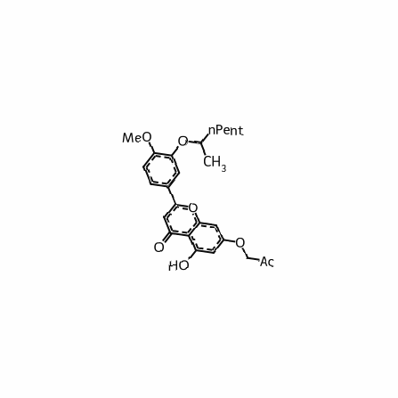 CCCCCC(C)Oc1cc(-c2cc(=O)c3c(O)cc(OCC(C)=O)cc3o2)ccc1OC